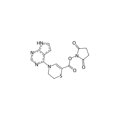 O=C(ON1C(=O)CCC1=O)C1=CN(c2ncnc3[nH]ccc23)CCS1